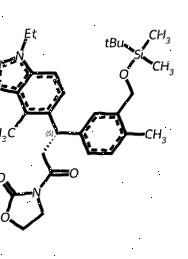 CCn1nnc2c(C)c([C@@H](CC(=O)N3CCOC3=O)c3ccc(C)c(CO[Si](C)(C)C(C)(C)C)c3)ccc21